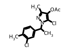 CC(=O)Oc1c(C)nn(C(C)c2ccc(C)c(Cl)c2)c1Cl